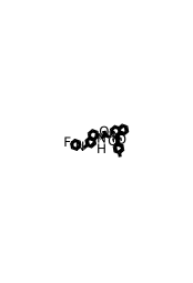 Cc1ccc(S(=O)(=O)N2c3ccccc3CC[C@@H]2CC(=O)N[C@@H]2CCCc3cc(CN4CCC(F)CC4)ccc32)cc1